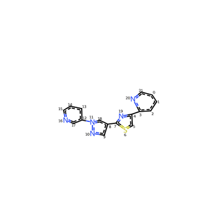 c1ccc(-c2csc(-c3cnn(-c4cccnc4)c3)n2)nc1